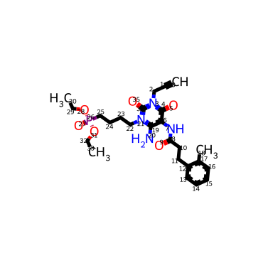 C#CCn1c(=O)c(NC(=O)CCc2ccccc2C)c(N)n(CCCCP(=O)(OCC)OCC)c1=O